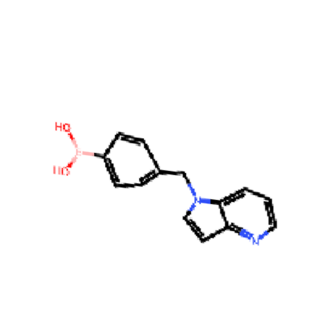 OB(O)c1ccc(Cn2ccc3ncccc32)cc1